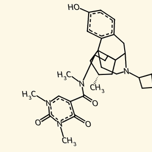 C[C@H]1CC23CCC(N(C)C(=O)c4cn(C)c(=O)n(C)c4=O)C1C21CCN(C2CCC2)C3Cc2ccc(O)cc21